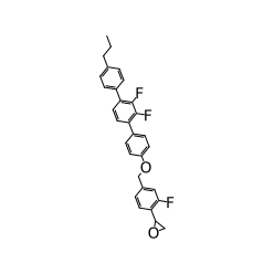 CCCc1ccc(-c2ccc(-c3ccc(OCc4ccc(C5CO5)c(F)c4)cc3)c(F)c2F)cc1